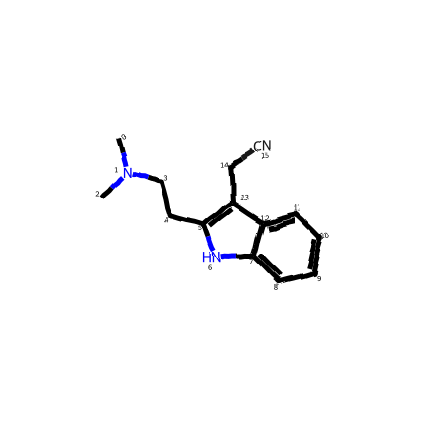 CN(C)CCc1[nH]c2ccccc2c1CC#N